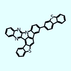 c1ccc2nc3c(nc2c1)c1c2c(cc4c5cc(-c6ccc7c(c6)sc6ccccc67)ccc5n3c41)sc1ccccc12